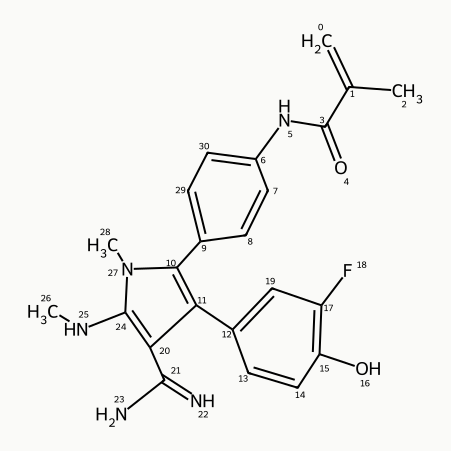 C=C(C)C(=O)Nc1ccc(-c2c(-c3ccc(O)c(F)c3)c(C(=N)N)c(NC)n2C)cc1